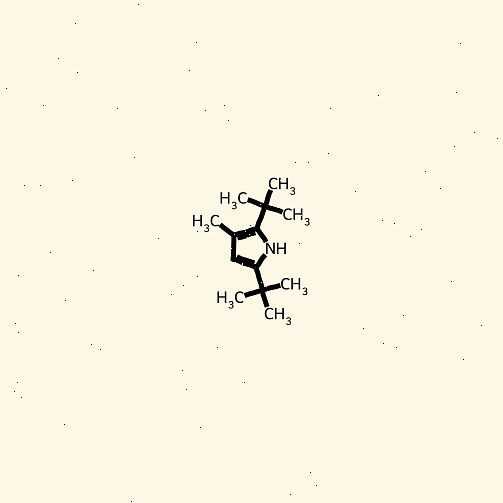 Cc1cc(C(C)(C)C)[nH]c1C(C)(C)C